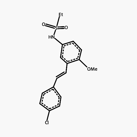 CCS(=O)(=O)Nc1ccc(OC)c(C=Cc2ccc(Cl)cc2)c1